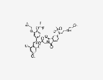 COCCNCCN(c1ccc2c(c1)C(=O)N(CC(=O)O[C@@H](Cc1c(Cl)c[n+](OC)cc1Cl)c1ccc(OC(F)F)c(OCC3CC3)c1)C2=O)S(C)(=O)=O